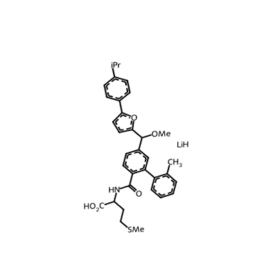 COC(c1ccc(C(=O)NC(CCSC)C(=O)O)c(-c2ccccc2C)c1)c1ccc(-c2ccc(C(C)C)cc2)o1.[LiH]